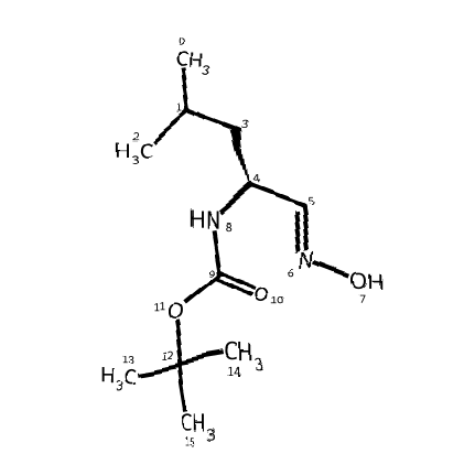 CC(C)C[C@@H](C=NO)NC(=O)OC(C)(C)C